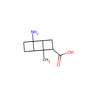 CC12C3C4C5C(C1C53N)C42C(=O)O